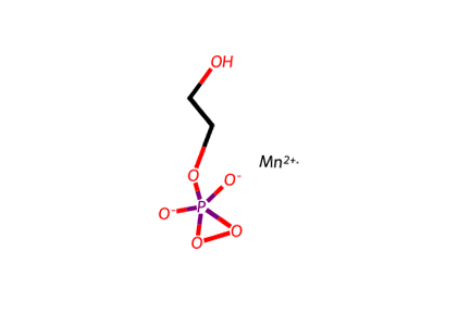 [Mn+2].[O-]P1([O-])(OCCO)OO1